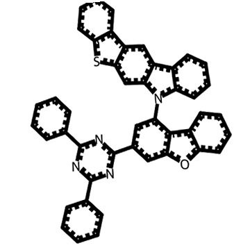 c1ccc(-c2nc(-c3ccccc3)nc(-c3cc(-n4c5ccccc5c5cc6c(cc54)sc4ccccc46)c4c(c3)oc3ccccc34)n2)cc1